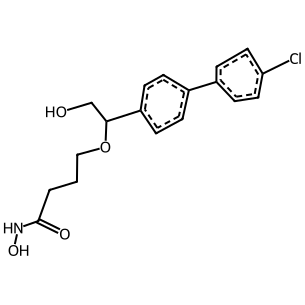 O=C(CCCOC(CO)c1ccc(-c2ccc(Cl)cc2)cc1)NO